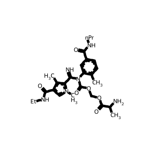 CCCNC(=O)c1ccc(C)c(N(C(=N)c2c(C)c(C(=O)NCC)cn2C)C(=O)OCOC(=O)C(C)N)c1